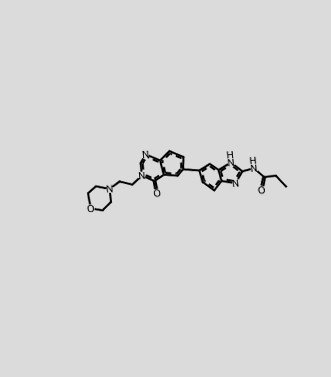 CCC(=O)Nc1nc2ccc(-c3ccc4ncn(CCN5CCOCC5)c(=O)c4c3)cc2[nH]1